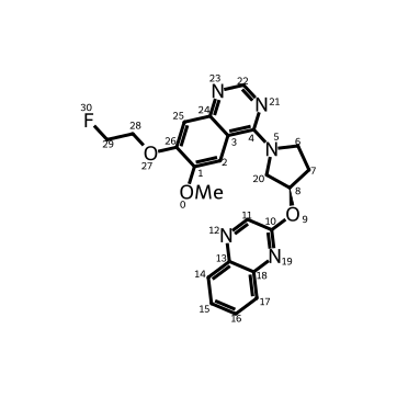 COc1cc2c(N3CC[C@@H](Oc4cnc5ccccc5n4)C3)ncnc2cc1OCCF